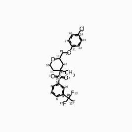 CC1(S(=O)(=O)c2cccc(C(F)(F)F)c2)CCOC(COc2ccc(Cl)cc2)C1